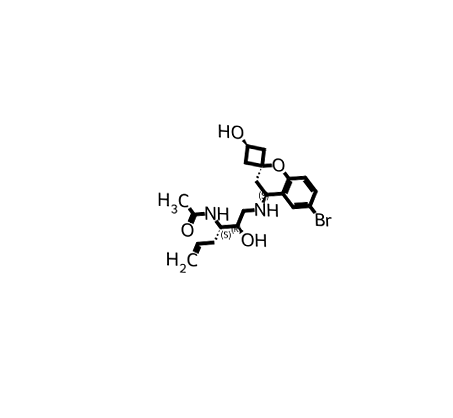 C=CC[C@H](NC(C)=O)[C@H](O)CN[C@H]1C[C@]2(C[C@H](O)C2)Oc2ccc(Br)cc21